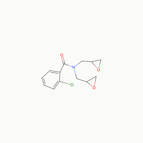 O=C(c1ccccc1Cl)N(CC1CO1)CC1CO1